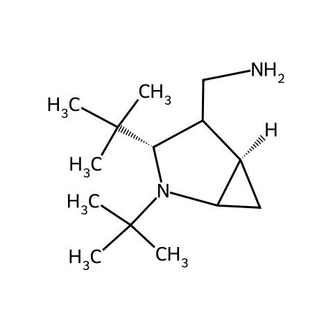 CC(C)(C)[C@@H]1C(CN)[C@H]2CC2N1C(C)(C)C